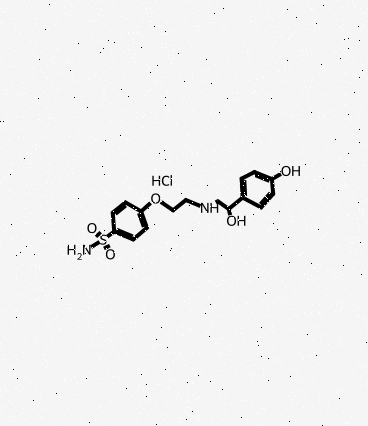 Cl.NS(=O)(=O)c1ccc(OCCNCC(O)c2ccc(O)cc2)cc1